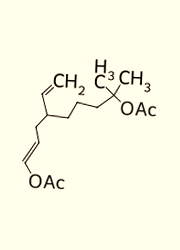 C=CC(CC=COC(C)=O)CCCC(C)(C)OC(C)=O